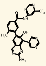 Cc1ccc(C(=O)Nc2cc(C(F)(F)F)ncn2)cc1-c1cc2cnc(N)nc2c(-c2cncnc2)c1O